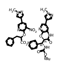 Cn1cc(-c2cnc(OC(Cc3ccccc3)C(=O)O)c([N+](=O)[O-])c2)cn1.Cn1cc(-c2cnc3c(c2)NC(=O)[C@@H]([C@H](NC(=O)OC(C)(C)C)c2ccccc2)O3)cn1